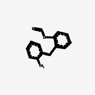 Cc1ccccc1Cc1ccccc1OC=O